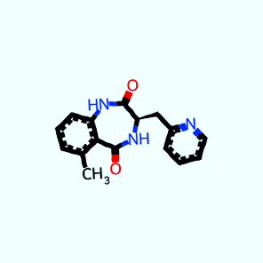 Cc1cccc2c1C(=O)N[C@H](Cc1ccccn1)C(=O)N2